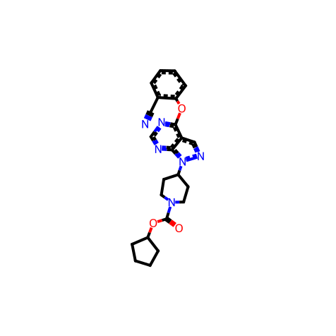 N#Cc1ccccc1Oc1ncnc2c1cnn2C1CCN(C(=O)OC2CCCC2)CC1